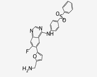 NCc1ccc(-c2cc3c(Nc4ccc(S(=O)(=O)c5ccccc5)cc4)ncnc3cc2F)o1